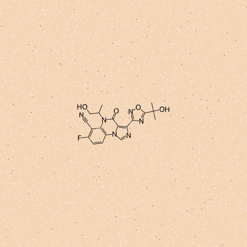 CC(CO)n1c(=O)c2c(-c3noc(C(C)(C)O)n3)ncn2c2ccc(F)c(C#N)c21